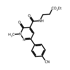 CCOC(=O)CCNC(=O)c1cc(-c2ccc(C#N)cc2)nn(C)c1=O